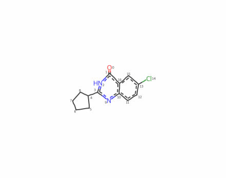 O=c1[nH]c(C2CCCC2)nc2ccc(Cl)cc12